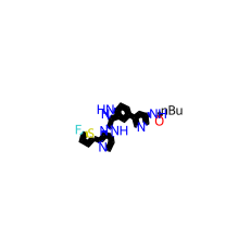 CCCCC(=O)Nc1cncc(-c2ccc3[nH]nc(-c4nc5c(-c6ccc(F)s6)nccc5[nH]4)c3c2)c1